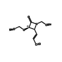 COCO[C@H]1C(=O)N(COC)C1C=CC=O